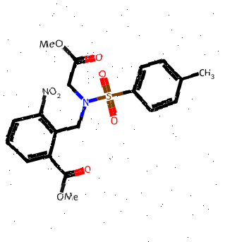 COC(=O)CN(Cc1c(C(=O)OC)cccc1[N+](=O)[O-])S(=O)(=O)c1ccc(C)cc1